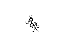 CCCC(CCC)n1c(=O)c(C)nc2c(-c3ccc(OC)cc3Cl)ccnc21